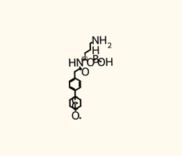 COC12CCC(c3ccc(CC(=O)N[C@@H](CCCN)OBO)cc3)(CC1)CC2